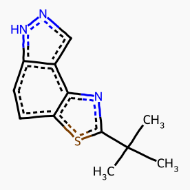 CC(C)(C)c1nc2c(ccc3[nH]ncc32)s1